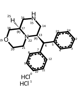 Cl.Cl.c1ccc(C(c2ccccc2)[C@@H]2CNC[C@@H]3COCCN32)cc1